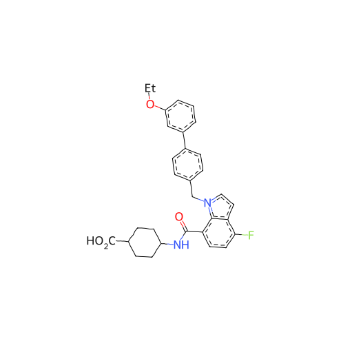 CCOc1cccc(-c2ccc(Cn3ccc4c(F)ccc(C(=O)NC5CCC(C(=O)O)CC5)c43)cc2)c1